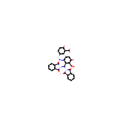 O=C(O)c1cc(N=Nc2ccc(O)c(C(=O)O)c2C(N2C(=O)c3ccccc3C2=O)N2C(=O)c3ccccc3C2=O)ccc1O